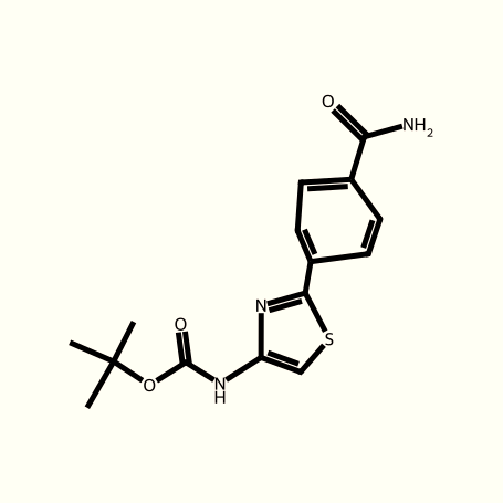 CC(C)(C)OC(=O)Nc1csc(-c2ccc(C(N)=O)cc2)n1